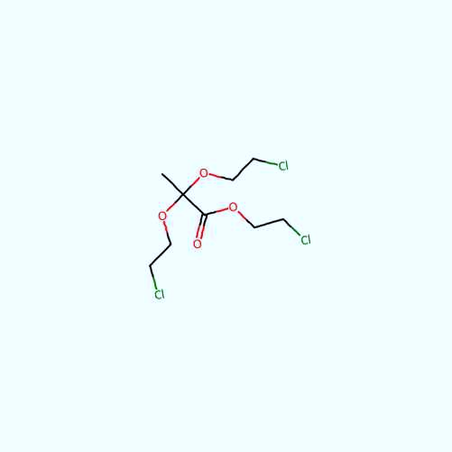 CC(OCCCl)(OCCCl)C(=O)OCCCl